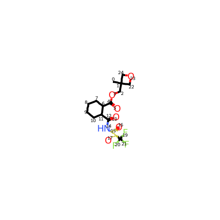 CC1(COC(=O)C2CCCCC2C(=O)NS(=O)(=O)C(F)(F)F)COC1